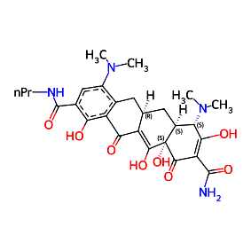 CCCNC(=O)c1cc(N(C)C)c2c(c1O)C(=O)C1=C(O)[C@]3(O)C(=O)C(C(N)=O)=C(O)[C@@H](N(C)C)[C@@H]3C[C@@H]1C2